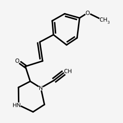 C#CN1CCNCC1C(=O)C=Cc1ccc(OC)cc1